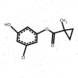 CC1(C(=O)Oc2cc(O)cc(Cl)c2)CC1